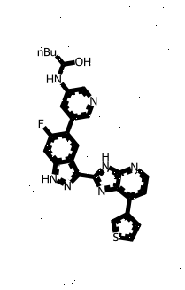 CCCCC(O)Nc1cncc(-c2cc3c(-c4nc5c(-c6ccsc6)ccnc5[nH]4)n[nH]c3cc2F)c1